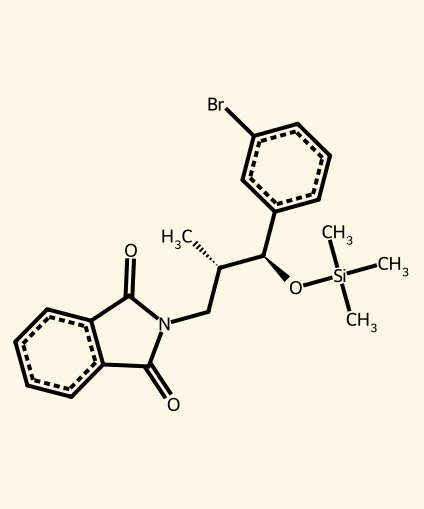 C[C@@H](CN1C(=O)c2ccccc2C1=O)[C@H](O[Si](C)(C)C)c1cccc(Br)c1